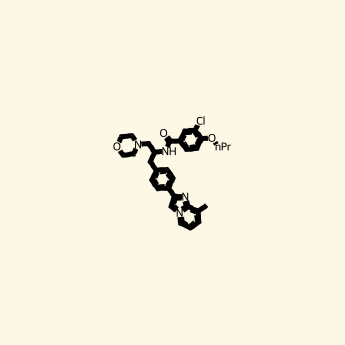 CCCOc1ccc(C(=O)NC(Cc2ccc(-c3cn4cccc(C)c4n3)cc2)CN2CCOCC2)cc1Cl